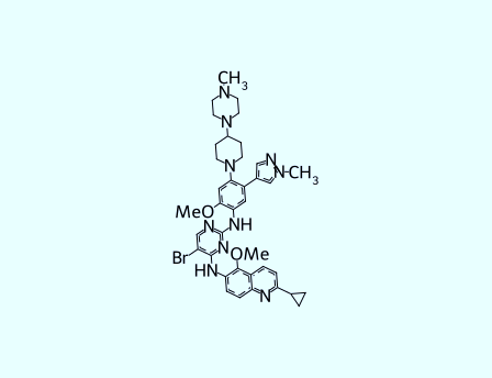 COc1cc(N2CCC(N3CCN(C)CC3)CC2)c(-c2cnn(C)c2)cc1Nc1ncc(Br)c(Nc2ccc3nc(C4CC4)ccc3c2OC)n1